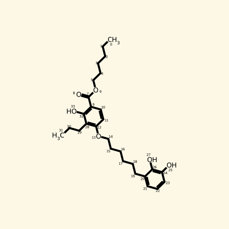 CCCCCCOC(=O)c1ccc(OCCCCCCc2cccc(O)c2O)c(CCC)c1O